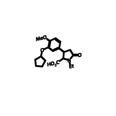 CCN1C(=O)CC(c2ccc(OC)c(OC3CCCC3)c2)C1C(=O)O